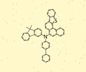 CC1(C)c2ccccc2-c2cc(N(c3ccc(-c4ccccc4)cc3)c3cc4ccccc4c4c3ccc3c5ccccc5sc34)ccc21